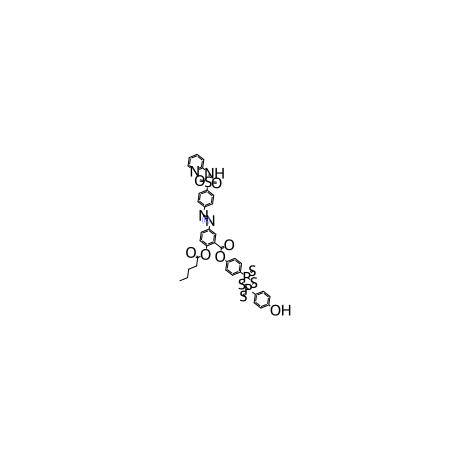 CCCCC(=O)Oc1ccc(/N=N/c2ccc(S(=O)(=O)Nc3ccccn3)cc2)cc1C(=O)Oc1ccc(P2(=S)SP(=S)(c3ccc(O)cc3)S2)cc1